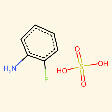 Nc1ccccc1F.O=S(=O)(O)O